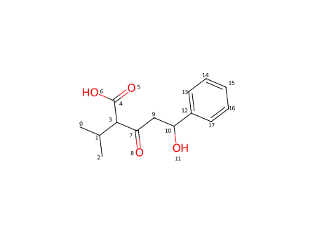 CC(C)C(C(=O)O)C(=O)CC(O)c1ccccc1